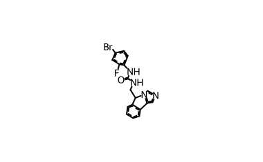 O=C(NCC1c2ccccc2-c2cncn21)Nc1ccc(Br)cc1F